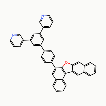 c1cncc(-c2cc(-c3ccc(-c4cc5ccccc5c5c4oc4cc6ccccc6cc45)cc3)cc(-c3cccnc3)c2)c1